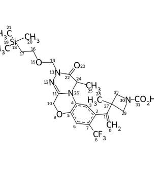 C=C(c1cc2c(cc1C(F)(F)F)OCC1=NN(COCC[Si](C)(C)C)C(=O)C(C)N12)C1(C)CN(C(=O)O)C1